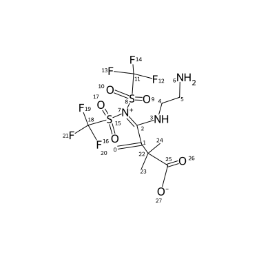 C=C(C(NCCN)=[N+](S(=O)(=O)C(F)(F)F)S(=O)(=O)C(F)(F)F)C(C)(C)C(=O)[O-]